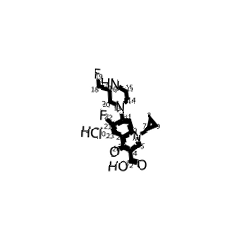 Cl.O=C(O)c1cn(C2CC2)c2cc(N3CCNC(CF)C3)c(F)cc2c1=O